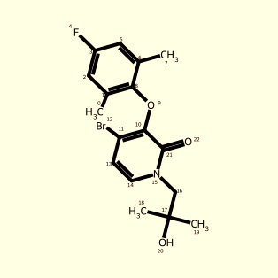 Cc1cc(F)cc(C)c1Oc1c(Br)ccn(CC(C)(C)O)c1=O